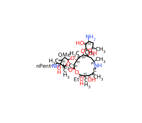 CCCCCNC[C@]1(O)[C@H](C)OC(O[C@@H]2[C@@H](C)[C@@H](O[C@@H]3O[C@H](C)C[C@H](N)[C@H]3O)[C@](C)(O)C[C@@H](C)NC[C@@H](C)[C@H](O)[C@](C)(O)[C@H](CC)OC(=O)[C@@H]2C)C[C@@]1(C)OC